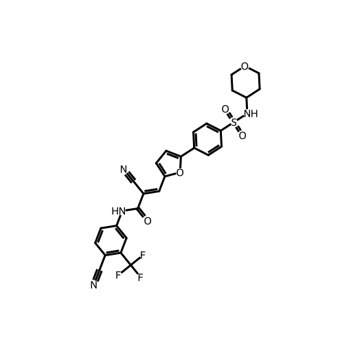 N#C/C(=C\c1ccc(-c2ccc(S(=O)(=O)NC3CCOCC3)cc2)o1)C(=O)Nc1ccc(C#N)c(C(F)(F)F)c1